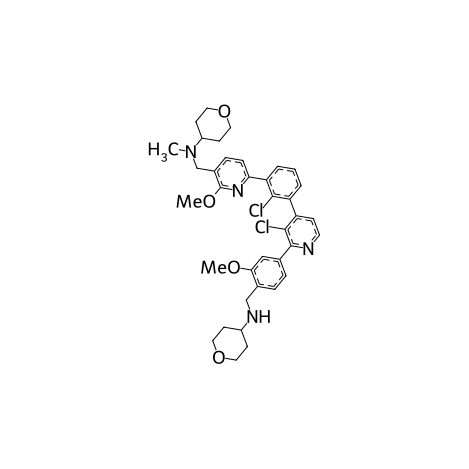 COc1cc(-c2nccc(-c3cccc(-c4ccc(CN(C)C5CCOCC5)c(OC)n4)c3Cl)c2Cl)ccc1CNC1CCOCC1